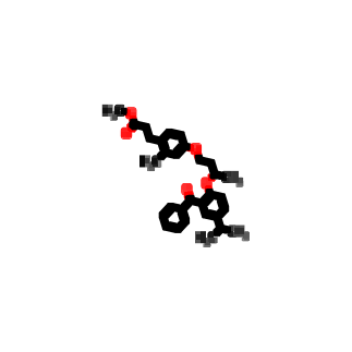 COC(=O)CCc1ccc(OCCC(C)Oc2ccc(C(C)C)cc2C(=O)c2ccccc2)cc1C